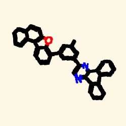 Cc1cc(-c2cnc3c4ccccc4c4ccccc4c3n2)cc(-c2cccc3c2oc2ccc4ccccc4c23)c1